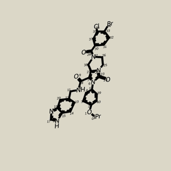 CC(C)Oc1ccc(-n2c(C(=O)NCc3ccc4[nH]cnc4c3)c3n(c2=O)CCN(C(=O)c2ccc(Br)c(Cl)c2)C3)cc1